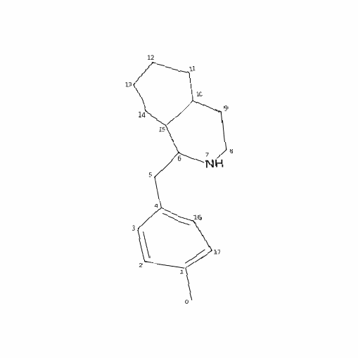 Cc1ccc(CC2NCCC3CCCCC32)cc1